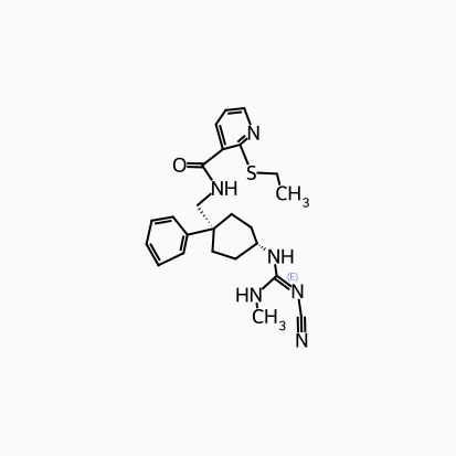 CCSc1ncccc1C(=O)NC[C@]1(c2ccccc2)CC[C@H](N/C(=N/C#N)NC)CC1